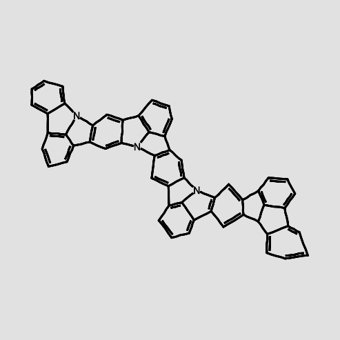 c1ccc2c(c1)-c1cccc3c1C2c1cc2c4cccc5c6cc7c(cc6n(c2cc1-3)c45)c1cccc2c3cc4c(cc3n7c21)c1cccc2c3ccccc3n4c21